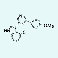 COc1ccc(-c2cncc(-c3c[nH]c4cccc(Cl)c34)c2)cc1